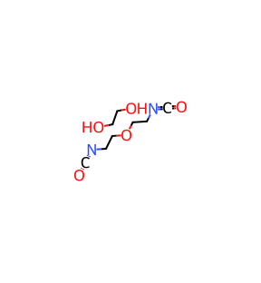 O=C=NCCOCCN=C=O.OCCO